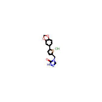 Cl.O=c1[nH]ncn1Cc1ccc(-c2ccc3c(c2)OCO3)s1